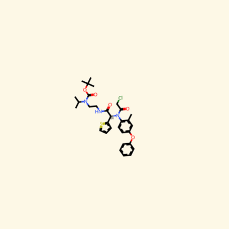 Cc1cc(Oc2ccccc2)ccc1N(C(=O)CCl)[C@H](C(=O)NCCN(C(=O)OC(C)(C)C)C(C)C)c1cccs1